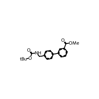 COC(=O)c1cccc(-c2ccc(CNC(=O)OC(C)(C)C)cc2)c1